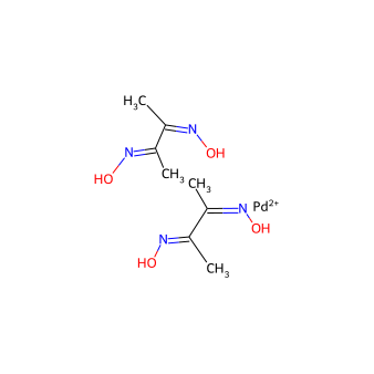 CC(=NO)C(C)=NO.CC(=NO)C(C)=NO.[Pd+2]